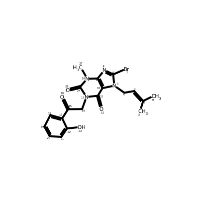 CC(C)=CCn1c(Br)nc2c1c(=O)n(CC(=O)c1ccccc1O)c(=O)n2C